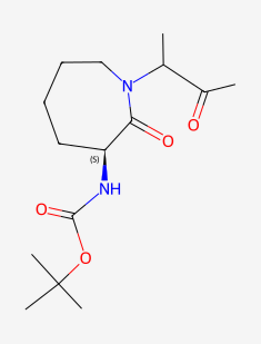 CC(=O)C(C)N1CCCC[C@H](NC(=O)OC(C)(C)C)C1=O